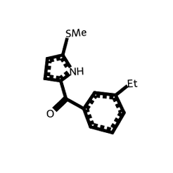 CCc1cccc(C(=O)c2ccc(SC)[nH]2)c1